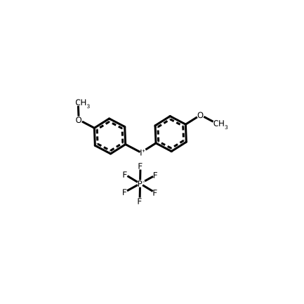 COc1ccc([I+]c2ccc(OC)cc2)cc1.F[P-](F)(F)(F)(F)F